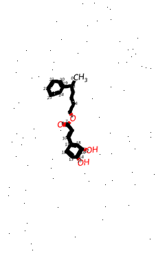 CC(CCCCOC(=O)/C=C/c1ccc(O)c(O)c1)c1ccccc1